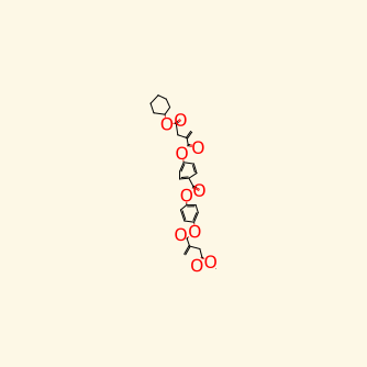 C=C(CC(=O)OC)C(=O)Oc1ccc(OC(=O)c2ccc(OC(=O)C(=C)CC(=O)OC3CCCCC3)cc2)cc1